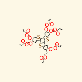 C=CC(=O)OCCc1cc2sc3c(c2cc1OCOC(=O)C=C)c1sc2cc(OCOC(=O)C=C)c(OCOC(=O)C=C)cc2c1c1sc2cc(OCOC(=O)C=C)c(OCOC(=O)C=C)cc2c31